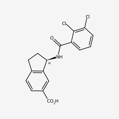 O=C(O)c1ccc2c(c1)[C@H](NC(=O)c1cccc(Cl)c1Cl)CC2